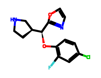 Fc1cc(Cl)ccc1O[C@@H](c1ncco1)[C@H]1CCNC1